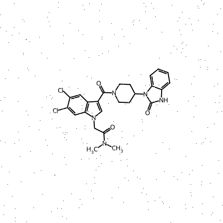 CN(C)C(=O)Cn1cc(C(=O)N2CCC(n3c(=O)[nH]c4ccccc43)CC2)c2cc(Cl)c(Cl)cc21